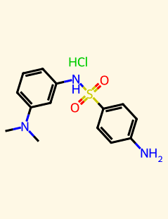 CN(C)c1cccc(NS(=O)(=O)c2ccc(N)cc2)c1.Cl